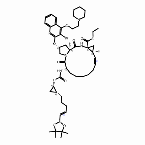 CCOC(=O)[C@@]12C[C@H]1/C=C\CCCCC[C@H](NC(=O)O[C@@H]1C[C@H]1CCC/C=C/B1OC(C)(C)C(C)(C)O1)C(=O)N1C[C@H](Oc3nc4ccccc4c(OCCN4CCCCC4)c3Br)C[C@H]1C(=O)N2